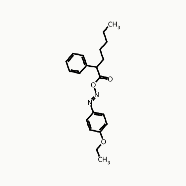 CCCCCC(C(=O)ON=Nc1ccc(OCC)cc1)c1ccccc1